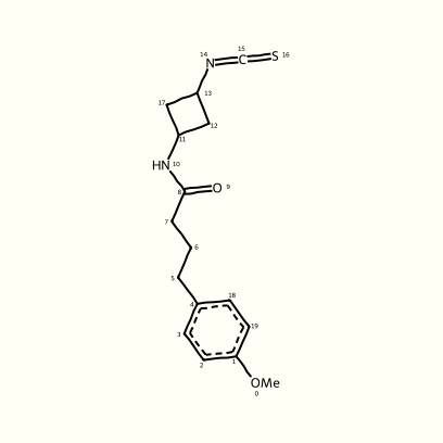 COc1ccc(CCCC(=O)NC2CC(N=C=S)C2)cc1